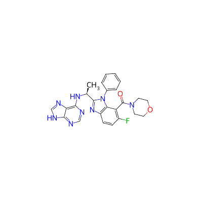 C[C@H](Nc1ncnc2[nH]cnc12)c1nc2ccc(F)c(C(=O)N3CCOCC3)c2n1-c1ccccc1